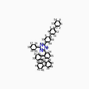 c1ccc(-c2ccc(-c3ccc(-c4nc(-c5ccccc5)nc(-c5cccc6c5-c5ccccc5[Si]6(c5ccccc5)c5ccccc5)n4)cc3)cc2)cc1